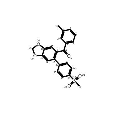 Cc1cccc(C(=O)c2cc3c(cc2-c2ccc(S(C)(=O)=O)cc2)OCO3)c1